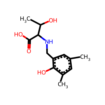 Cc1cc(C)c(O)c(CNC(C(=O)O)C(C)O)c1